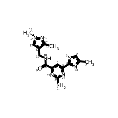 Cc1csc(-c2cc(C(=O)NCc3cn(C)nc3C)nc(N)n2)n1